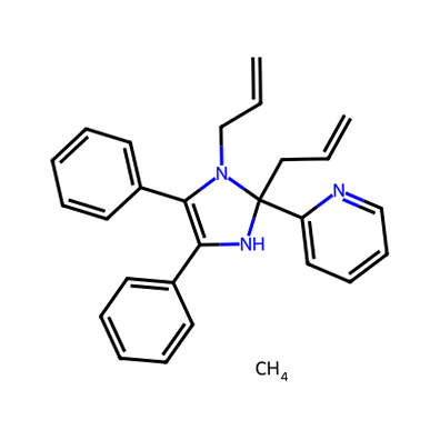 C.C=CCN1C(c2ccccc2)=C(c2ccccc2)NC1(CC=C)c1ccccn1